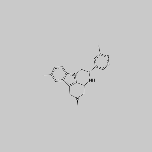 Cc1ccc2c(c1)c1c3n2CC(c2ccnc(C)c2)NC3CN(C)C1